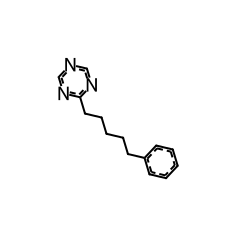 c1ccc(CCCCCc2ncncn2)cc1